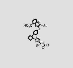 CCCCc1nc2cccc(C(=O)O)c2nc1Oc1ccc(-c2ccccc2-c2nnn(C(OC(=O)CC)C(C)C)n2)cc1